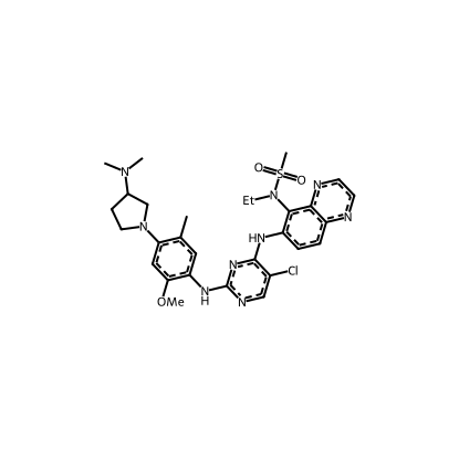 CCN(c1c(Nc2nc(Nc3cc(C)c(N4CCC(N(C)C)C4)cc3OC)ncc2Cl)ccc2nccnc12)S(C)(=O)=O